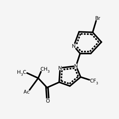 CC(=O)C(C)(C)C(=O)c1cc(C(F)(F)F)n(-c2ccc(Br)cn2)n1